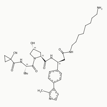 Cc1ncsc1-c1ccc([C@H](CC(=O)NCCCCCCCCN)NC(=O)[C@@H]2C[C@@H](O)CN2C(=O)[C@@H](NC(=O)C2(C#N)CC2)C(C)(C)C)cc1